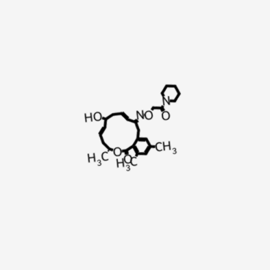 Cc1cc(C)c2c(c1)CC(=NOCC(=O)N1CCCCC1)/C=C/CC(O)/C=C/C[C@@H](C)OC2=O